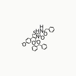 COc1ccc(C2=C(C(=O)OC(c3ccccc3)c3ccccc3)N3C(=O)C(NC(=O)Cc4ccccc4)[C@@H]3SC2)cc1